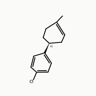 CC1=CC[C@@H](c2ccc(Cl)cc2)CC1